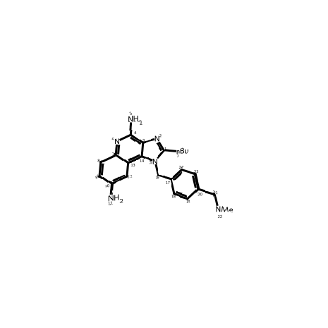 CCCCc1nc2c(N)nc3ccc(N)cc3c2n1Cc1ccc(CNC)cc1